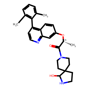 Cc1cccc(C)c1-c1ccnc2cc(O[C@H](C)C(=O)N3CCC4(CCNC4O)CC3)ccc12